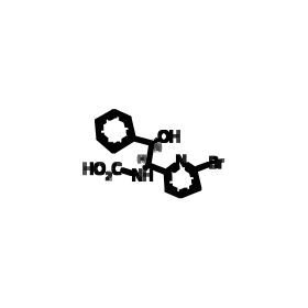 O=C(O)N[C@H](c1cccc(Br)n1)[C@@H](O)c1ccccc1